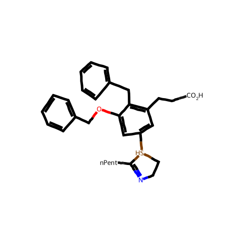 CCCCCC1=NCC[SH]1c1cc(CCC(=O)O)c(Cc2ccccc2)c(OCc2ccccc2)c1